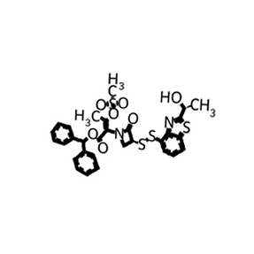 CC(OS(C)(=O)=O)=C(C(=O)OC(c1ccccc1)c1ccccc1)N1C[C@H](SSc2cccc3sc([C@@H](C)O)nc23)C1=O